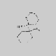 CC1(C2([SiH3])CCCCO2)CCCCC1